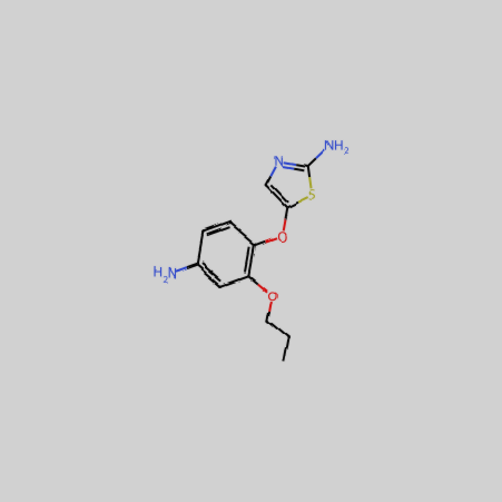 CCCOc1cc(N)ccc1Oc1cnc(N)s1